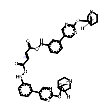 O=C(/C=C/C(=O)ONc1cccc(-c2cnc(O[C@H]3CN4CCC3CC4)nc2)c1)ONc1cccc(-c2cnc(O[C@H]3CN4CCC3CC4)nc2)c1